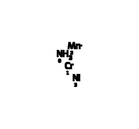 N.[Cr].[Mn].[Ni]